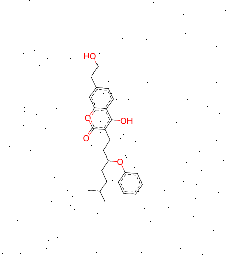 CC(C)CCC(CCc1c(O)c2ccc(CCO)cc2oc1=O)Oc1ccccc1